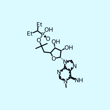 CCC(CC)P(=O)(O)OC(C)(C)CC1O[C@@H](n2cnc3c(=N)n(C)cnc32)[C@H](O)[C@@H]1O